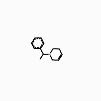 CC(c1ccccc1)N1CC=[C]CC1